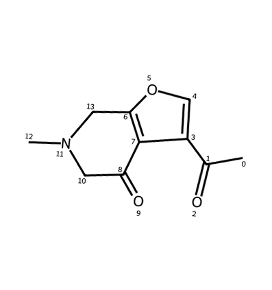 CC(=O)c1coc2c1C(=O)CN(C)C2